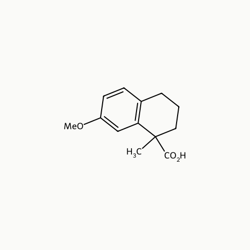 COc1ccc2c(c1)C(C)(C(=O)O)CCC2